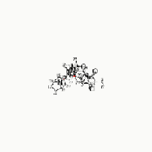 CCCC(=O)N1CCc2c(nc(C)n2C2CC3CCC(C2)N3CC[C@H](NC(C)=O)c2ccc(Cl)s2)C1